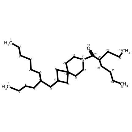 CCCCCCC(CCCC)CC1CC2(CCN(C(=O)C(CCC)CCCC)CC2)C1